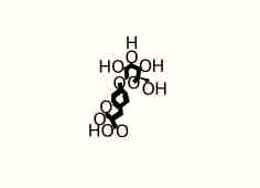 O=C(O)c1cc2ccc(O[C@@H]3O[C@H](CO)[C@@H](O)[C@H](O)[C@H]3O)cc2oc1=O